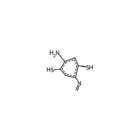 C=Nc1cc(S)c(N)cc1S